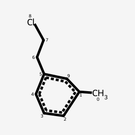 Cc1cccc(CCCl)c1